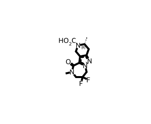 C[C@@H]1Cc2nn3c(c2CN1C(=O)O)C(=O)N(C)CC(F)(F)C3